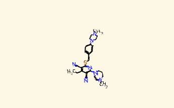 CCc1c(C#N)c(SCc2ccc(N3CCN(C)CC3)cc2)nc(N2CCCN(C)CC2)c1C#N